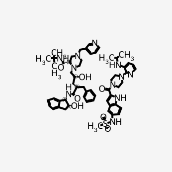 CC(C)(C)NC(=O)[C@@H]1CN(Cc2cccnc2)CCN1C[C@@H](O)C[C@@H](Cc1ccccc1)C(=O)N[C@H]1c2ccccc2C[C@H]1O.CC(C)Nc1cccnc1N1CCN(C(=O)c2cc3cc(NS(C)(=O)=O)ccc3[nH]2)CC1